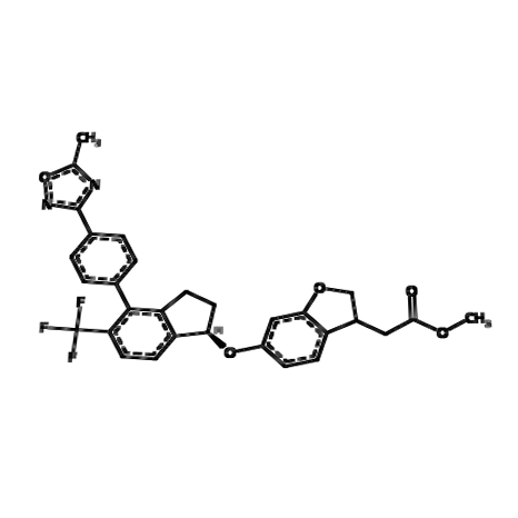 COC(=O)CC1COc2cc(O[C@@H]3CCc4c3ccc(C(F)(F)F)c4-c3ccc(-c4noc(C)n4)cc3)ccc21